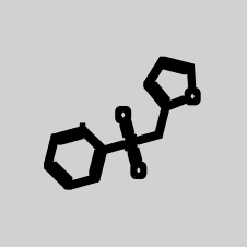 O=S(=O)(Cc1ccco1)c1[c]cccc1